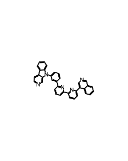 c1cc(-c2cccc(-c3cccc(-c4cncc5ccccc45)n3)n2)cc(-n2c3ccccc3c3ccncc32)c1